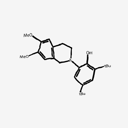 COc1cc2c(cc1OC)CN(c1cc(C(C)(C)C)cc(C(C)(C)C)c1O)CC2